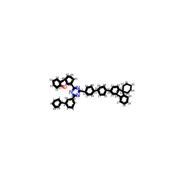 c1ccc(-c2cccc(-c3nc(-c4ccc(-c5ccc(-c6ccc7c(c6)-c6ccccc6C76CCCCC6)cc5)cc4)nc(-c4cccc5c4oc4ccccc45)n3)c2)cc1